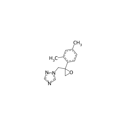 Cc1ccc(C2(Cn3cncn3)CO2)c(C)c1